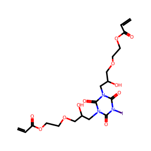 C=CC(=O)OCCOCC(O)Cn1c(=O)n(I)c(=O)n(CC(O)COCCOC(=O)C=C)c1=O